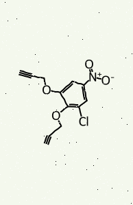 C#CCOc1cc([N+](=O)[O-])cc(Cl)c1OCC#C